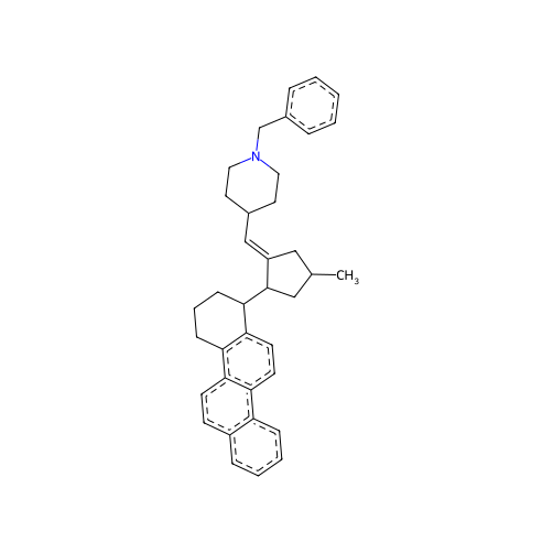 CC1CC(=CC2CCN(Cc3ccccc3)CC2)C(C2CCCc3c2ccc2c3ccc3ccccc32)C1